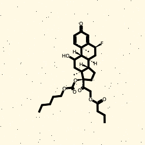 CCCCCOC(=O)O[C@]1(C(=O)COC(=O)CCC)CC[C@H]2[C@@H]3C[C@H](F)C4=CC(=O)C=C[C@]4(C)[C@H]3C(O)C[C@@]21C